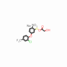 O=C(CO)OSc1cc(Oc2ccc(C(F)(F)F)cc2Cl)ccc1[N+](=O)[O-].[Na]